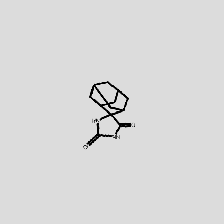 O=C1NC(=O)C2(N1)C1CC3CC(C1)CC2C3